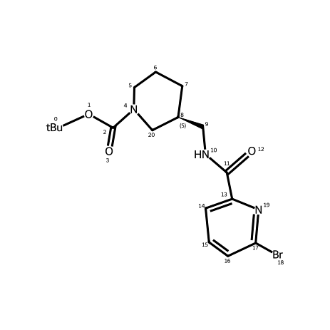 CC(C)(C)OC(=O)N1CCC[C@@H](CNC(=O)c2cccc(Br)n2)C1